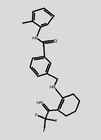 Cc1ccccc1NC(=O)c1cccc(CNC2=C(C(=N)C(F)(F)F)CCCC2)c1